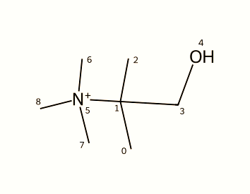 CC(C)(CO)[N+](C)(C)C